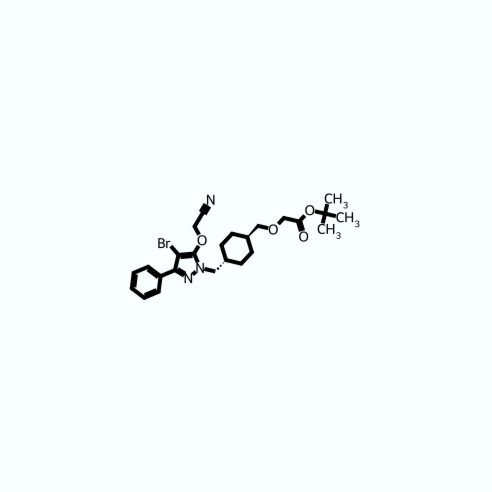 CC(C)(C)OC(=O)COC[C@H]1CC[C@H](Cn2nc(-c3ccccc3)c(Br)c2OCC#N)CC1